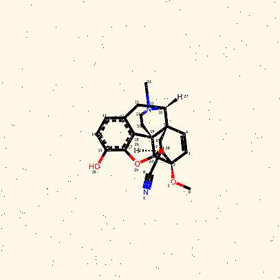 CO[C@]12C=C[C@@]3(C[C@@H]1C#N)[C@H]1Cc4ccc(O)c5c4[C@@]3(CCN1C)[C@H]2O5